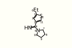 CCc1cc(C(=N)N2CCCC2)cs1